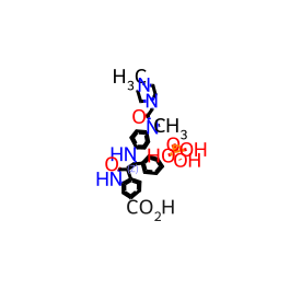 CN1CCN(CC(=O)N(C)c2ccc(N/C(=C3\C(=O)Nc4cc(C(=O)O)ccc43)c3ccccc3)cc2)CC1.O=P(O)(O)O